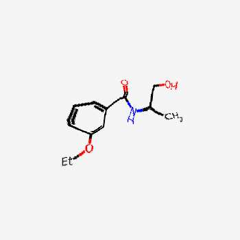 CCOc1cccc(C(=O)NC(C)CO)c1